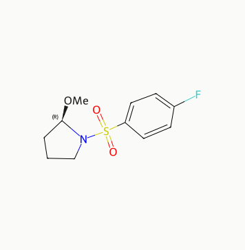 CO[C@@H]1CCCN1S(=O)(=O)c1ccc(F)cc1